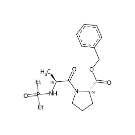 CCP(=O)(CC)N[C@@H](C)C(=O)N1CCC[C@H]1C(=O)OCc1ccccc1